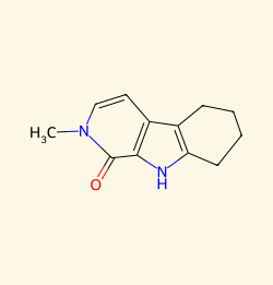 Cn1ccc2c3c([nH]c2c1=O)CCCC3